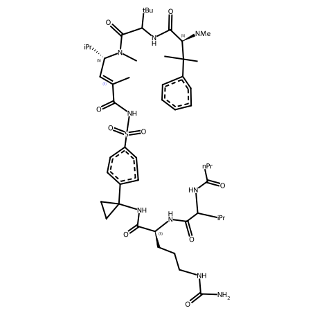 CCCC(=O)NC(C(=O)N[C@@H](CCCNC(N)=O)C(=O)NC1(c2ccc(S(=O)(=O)NC(=O)/C(C)=C/[C@H](C(C)C)N(C)C(=O)C(NC(=O)[C@@H](NC)C(C)(C)c3ccccc3)C(C)(C)C)cc2)CC1)C(C)C